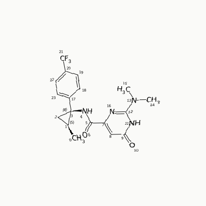 C[C@H]1C[C@]1(NC(=O)c1cc(=O)[nH]c(N(C)C)n1)c1ccc(C(F)(F)F)cc1